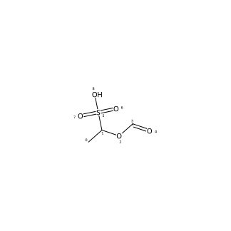 CC(O[C]=O)S(=O)(=O)O